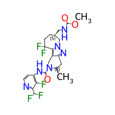 COC(=O)NC[C@@H]1CCC(F)(F)c2c3c(nn2C1)C[C@@H](C)N(C(=O)Nc1ccnc(C(F)F)c1F)C3